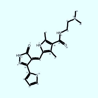 Cc1[nH]c(C=C2C(=O)NN=C2c2cccs2)c(C)c1C(=O)NCCN(C)C